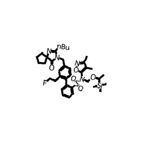 CCCCC1=NC2(CCCC2)C(=O)N1Cc1ccc(-c2ccccc2S(=O)(=O)N(COC(C)[Si](C)(C)C)c2onc(C)c2C)c(CCF)c1